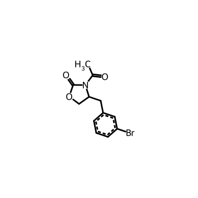 CC(=O)N1C(=O)OCC1Cc1cccc(Br)c1